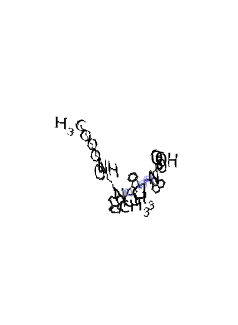 CCCOCCOCCOCCNC(=O)CCCCCN1c2ccc3ccccc3c2C(C)(C)C1/C=C/C1=C(Cl)C(=C/C=c2\c3cccc4cccc(c43)n2CCCS(=O)(=O)O)/c2ccccc21